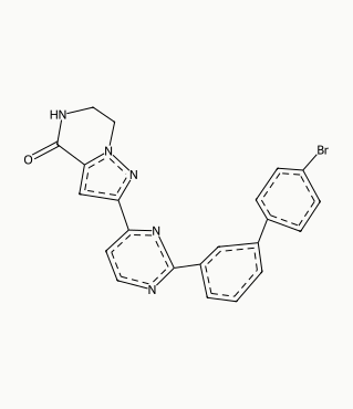 O=C1NCCn2nc(-c3ccnc(-c4cccc(-c5ccc(Br)cc5)c4)n3)cc21